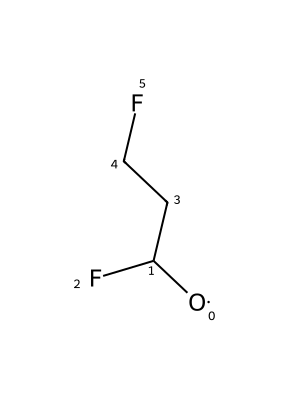 [O]C(F)CCF